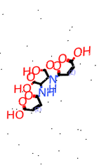 O=C(O)/C=C\C(=O)NC(C(=O)O)C(NC(=O)/C=C\C(=O)O)C(=O)O